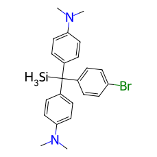 CN(C)c1ccc(C([SiH3])(c2ccc(Br)cc2)c2ccc(N(C)C)cc2)cc1